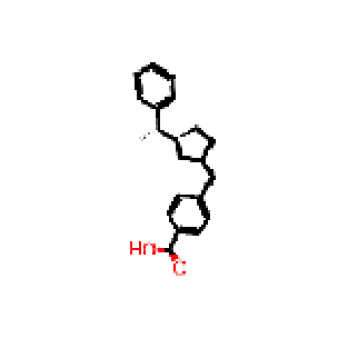 C[C@H](c1ccccc1)[C@H]1CCC(Cc2ccc(C(=O)O)cc2)C1